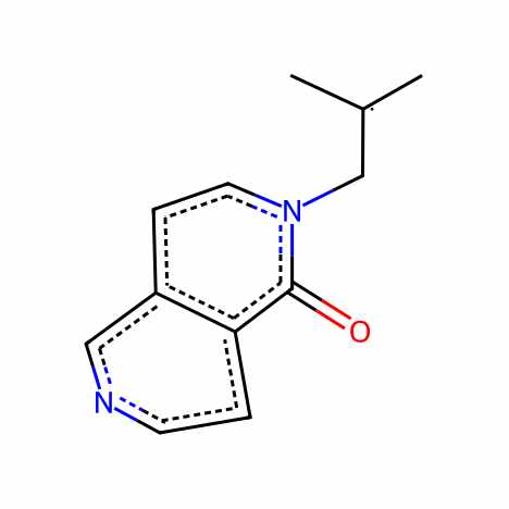 C[C](C)Cn1ccc2cnccc2c1=O